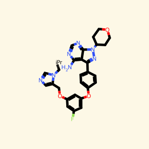 CC(C)Cn1cncc1COc1cc(F)cc(Oc2ccc(-c3nn(C4CCOCC4)c4ncnc(N)c34)cc2)c1